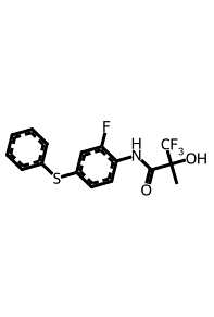 CC(O)(C(=O)Nc1ccc(Sc2ccccc2)cc1F)C(F)(F)F